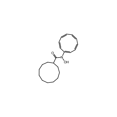 O=C(C1CCCCCCCCCC1)N(O)c1ccccccccc1